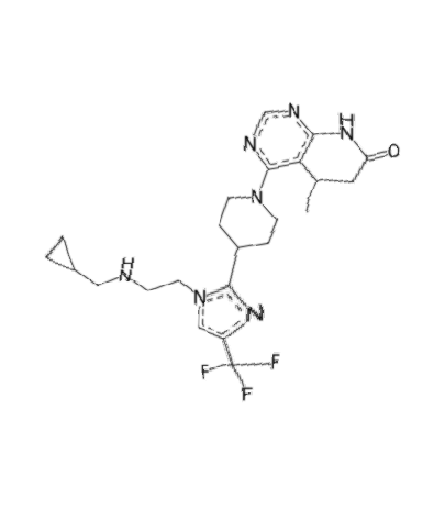 CC1CC(=O)Nc2ncnc(N3CCC(c4nc(C(F)(F)F)cn4CCNCC4CC4)CC3)c21